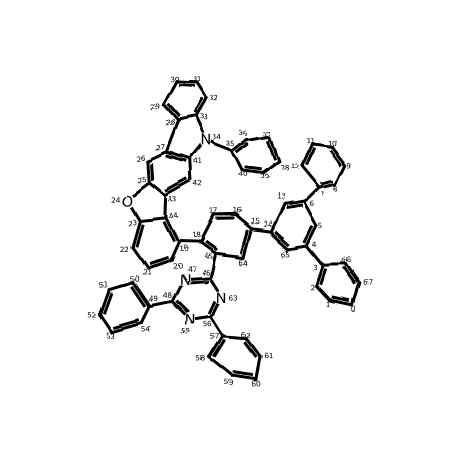 c1ccc(-c2cc(-c3ccccc3)cc(-c3ccc(-c4cccc5oc6cc7c8ccccc8n(-c8ccccc8)c7cc6c45)c(-c4nc(-c5ccccc5)nc(-c5ccccc5)n4)c3)c2)cc1